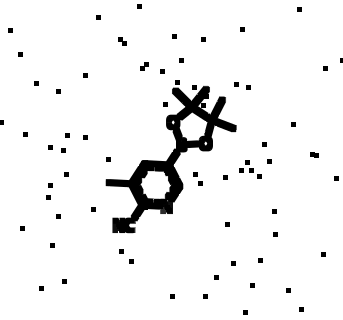 Cc1cc(B2OC(C)(C)C(C)(C)O2)cnc1C#N